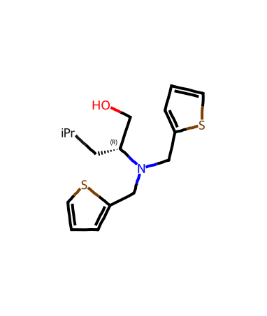 CC(C)C[C@H](CO)N(Cc1cccs1)Cc1cccs1